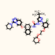 CC(C)(C)c1cc(NC(=O)N[C@H]2CC[C@@H](Oc3ccc4nnc(N5CCCCC5)n4c3)c3ccccc32)n(-c2cc(OCCOC3CCCCO3)ccc2Cl)n1